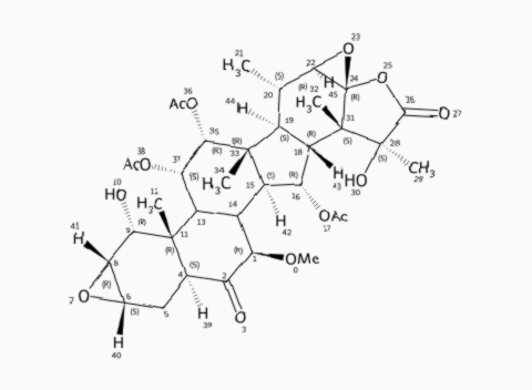 CO[C@H]1C(=O)[C@H]2C[C@@H]3O[C@@H]3[C@H](O)[C@]2(C)C2C1[C@@H]1[C@@H](OC(C)=O)[C@@H]3[C@H]([C@H](C)[C@H]4O[C@]45OC(=O)[C@@](C)(O)[C@]35C)[C@@]1(C)[C@@H](OC(C)=O)[C@H]2OC(C)=O